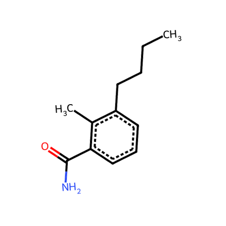 CCCCc1cccc(C(N)=O)c1C